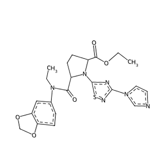 CCOC(=O)C1CCC(C(=O)N(CC)c2ccc3c(c2)OCO3)N1c1nc(-n2ccnc2)ns1